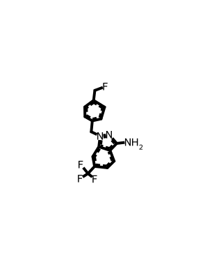 Nc1nn(Cc2ccc(CF)cc2)c2cc(C(F)(F)F)ccc12